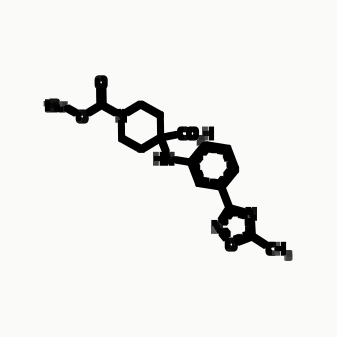 Cc1nc(-c2cccc(NC3(C(=O)O)CCN(C(=O)OC(C)(C)C)CC3)c2)no1